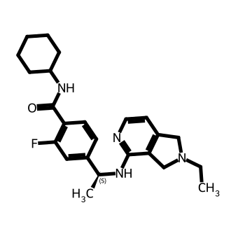 CCN1Cc2ccnc(N[C@@H](C)c3ccc(C(=O)NC4CCCCC4)c(F)c3)c2C1